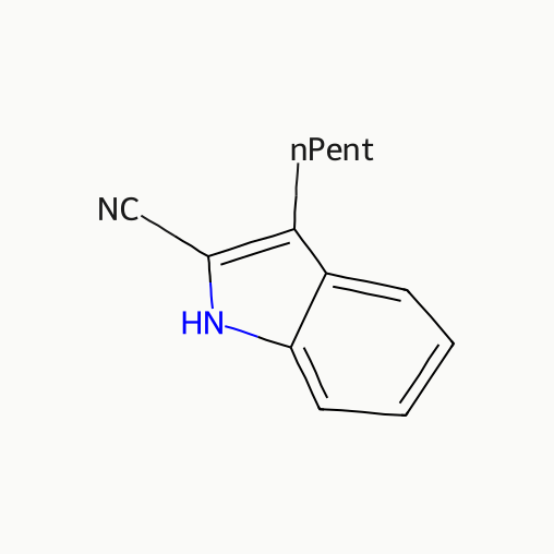 CCCCCc1c(C#N)[nH]c2ccccc12